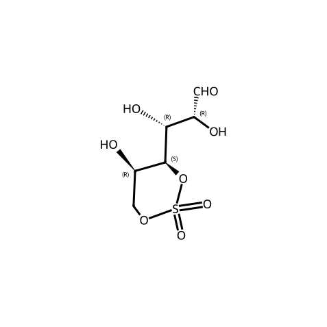 O=C[C@H](O)[C@@H](O)[C@H]1OS(=O)(=O)OC[C@H]1O